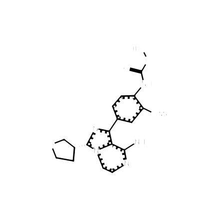 COc1cc(-c2nc([C@@H]3CCOC3)n3ccnc(N)c23)ccc1NC(=O)OC(C)(C)C